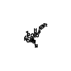 CCN1CCN(C[C@@H]2C[C@H]2C(=O)Nc2ccc3c(-c4c(OC5CC5)ccnc4OC)cn(COCC[Si](C)(C)C)c3n2)CC1